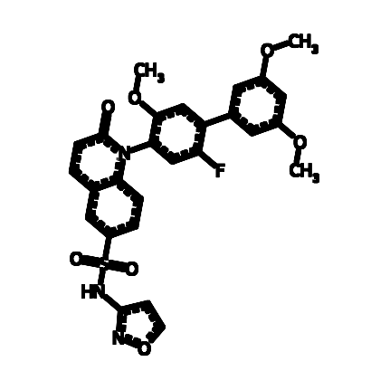 COc1cc(OC)cc(-c2cc(OC)c(-n3c(=O)ccc4cc(S(=O)(=O)Nc5ccon5)ccc43)cc2F)c1